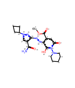 CC(C)(C)OC(=O)c1cc(=O)n(N2CCCCC2)c(O)c1N=Nc1nn(C2CCC2)cc1C(N)=O